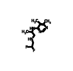 Cc1ncnc(NC(C)CNCC(F)F)c1C